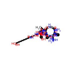 CCCC[C@H](NC(=O)C(CO)NC(=O)C(Cc1ccc(O)cc1)NC(=O)[C@H](C)NC(O)CCNC(=O)COCCOCCNC(=O)CCCCCCCCCCCCCCC(O)O)C(=O)N[C@H]1CCC(=O)CNCCCC[C@@H](C(N)=O)NC(=O)[C@H](Cc2c[nH]c3ccccc23)NC(=O)[C@H](CCCNC(=N)N)NC(=O)[C@@H](Cc2ccccc2)NC(=O)[C@@H]2C[C@@H](O)CN2C1=O